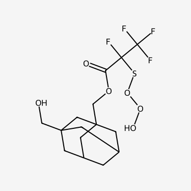 O=C(OCC12CC3CC(CC(CO)(C3)C1)C2)C(F)(SOOO)C(F)(F)F